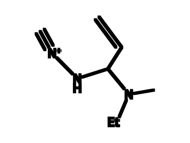 C#[N+]NC(C=C)N(C)CC